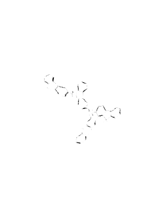 CC1(C)c2ccccc2-c2ccc3c(c21)c1cc2c(cc1n3-c1ccc3c(c1)c1ccccc1n3-c1ccc3sc4ccccc4c3c1)Sc1ccccc1S2